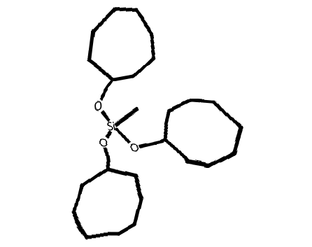 C[Si](OC1CCCCCCC1)(OC1CCCCCCC1)OC1CCCCCCC1